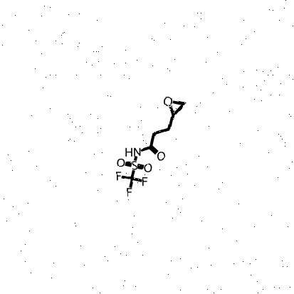 O=C(CCC1CO1)NS(=O)(=O)C(F)(F)F